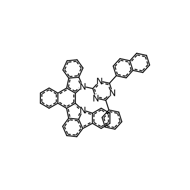 c1ccc(-c2nc(-c3ccc4ccccc4c3)nc(-n3c4ccccc4c4c5ccccc5c5c6cccc7c8ccccc8n(c76)c5c43)n2)cc1